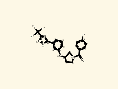 O=C(c1ccc(F)cc1)N1CCC(Oc2cccc(-c3noc(C(F)(F)F)n3)c2)C1